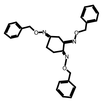 c1ccc(CON=C2CCC(=NOCc3ccccc3)C(=NOCc3ccccc3)C2)cc1